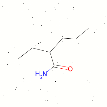 CC[CH]C(CC)C(N)=O